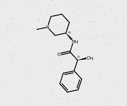 CN1CCC[C@@H](NC(=O)[C@@H](O)c2ccccc2)C1